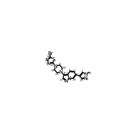 Cn1cc(-c2ccc3c(N4CCN(c5nnc(Br)s5)CC4)cnn3c2)cn1